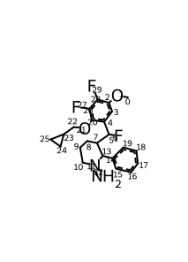 COc1cc(C(F)C2CCCN(N)C2c2ccccc2)c(OCC2CC2)c(F)c1F